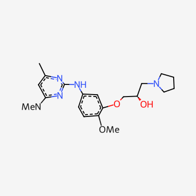 CNc1cc(C)nc(Nc2ccc(OC)c(OC[C@H](O)CN3CCCC3)c2)n1